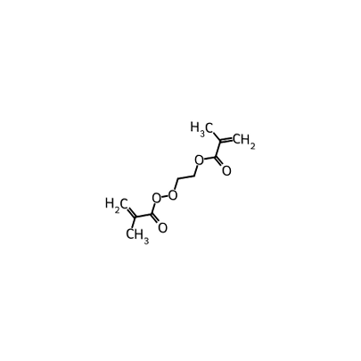 C=C(C)C(=O)OCCOOC(=O)C(=C)C